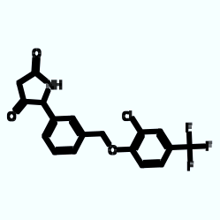 O=C1CC(=O)C(c2cccc(COc3ccc(C(F)(F)F)cc3Cl)c2)N1